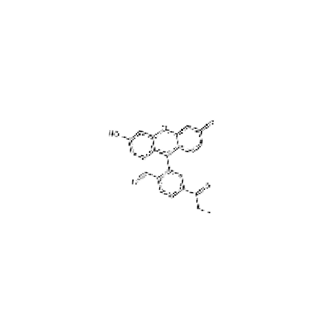 CCC(=O)c1ccc(C=O)c(-c2c3ccc(=O)cc-3oc3cc(O)ccc23)c1